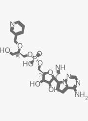 N=C[C@@]1(c2ccc3c(N)ncnn23)O[C@H](COP(=O)(O)OC[C@@H](CO)OCc2cccnc2)C(O)C1O